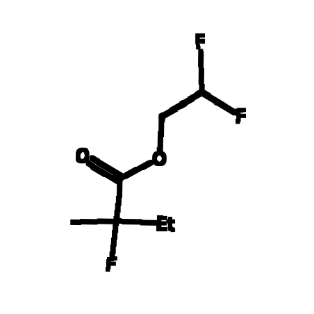 CCC(C)(F)C(=O)OCC(F)F